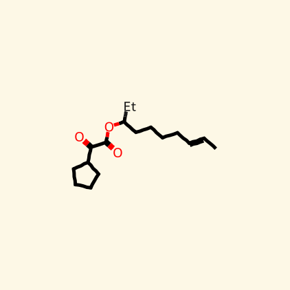 C/C=C/CCCCC(CC)OC(=O)C(=O)C1CCCC1